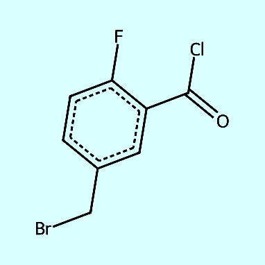 O=C(Cl)c1cc(CBr)ccc1F